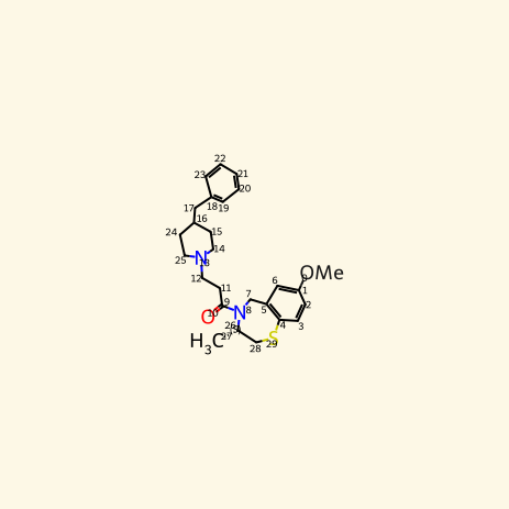 COc1ccc2c(c1)CN(C(=O)CCN1CCC(Cc3ccccc3)CC1)[C@@H](C)CS2